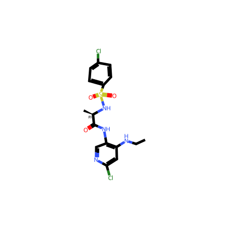 CCNc1cc(Cl)ncc1NC(=O)[C@@H](C)NS(=O)(=O)c1ccc(Cl)cc1